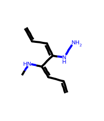 C=C/C=C(NC)\C(=C/C=C)NN